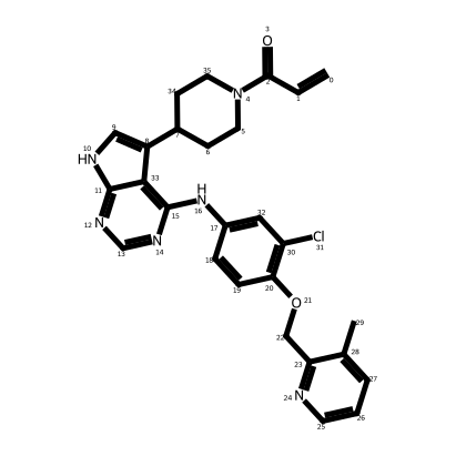 C=CC(=O)N1CCC(c2c[nH]c3ncnc(Nc4ccc(OCc5ncccc5C)c(Cl)c4)c23)CC1